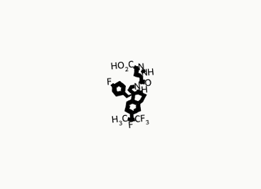 CC(F)(c1ccc2c(c1)CC[C@H]1N(C(=O)c3cc(C(=O)O)n[nH]3)CC[C@@]21Cc1ccc(F)cc1)C(F)(F)F